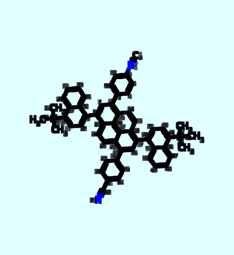 [C-]#[N+]c1ccc(-c2cc(-c3ccc([Si](C)(C)C)c4ccccc34)c3ccc4c(-c5ccc(C#N)cc5)cc(-c5ccc([Si](C)(C)C)c6ccccc56)c5ccc2c3c45)cc1